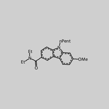 CCCCCn1c2ccc(C(=O)N(CC)CC)cc2c2ccc(OC)cc21